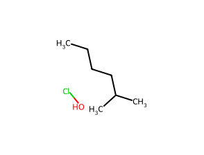 CCCCC(C)C.OCl